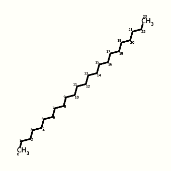 CCCC[CH]CCCCCCCCCCCCCCCCCCC